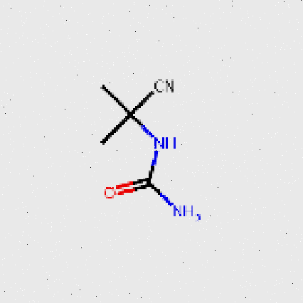 CC(C)(C#N)NC(N)=O